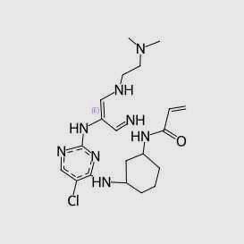 C=CC(=O)NC1CCCC(Nc2nc(N/C(C=N)=C/NCCN(C)C)ncc2Cl)C1